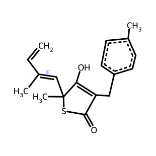 C=C/C(C)=C/C1(C)SC(=O)C(Cc2ccc(C)cc2)=C1O